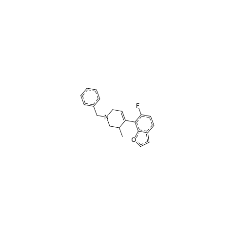 CC1CN(Cc2ccccc2)CC=C1c1c(F)ccc2ccoc12